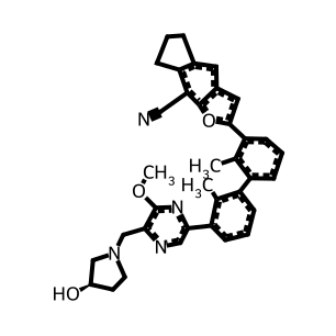 COc1nc(-c2cccc(-c3cccc(-c4cc5cc6c(c(C#N)c5o4)CCC6)c3C)c2C)cnc1CN1CC[C@@H](O)C1